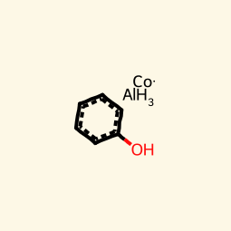 Oc1ccccc1.[AlH3].[Co]